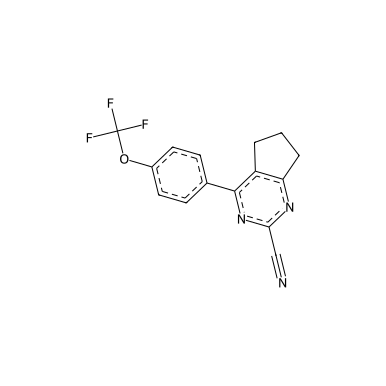 N#Cc1nc2c(c(-c3ccc(OC(F)(F)F)cc3)n1)CCC2